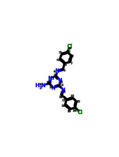 Nc1nc(N=Cc2ccc(Cl)cc2)nc(N=Cc2ccc(Cl)cc2)n1